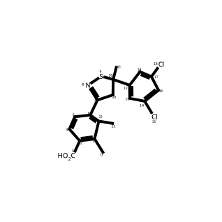 Cc1c(C(=O)O)ccc(C2=NSC(C)(c3cc(Cl)cc(Cl)c3)C2)c1C